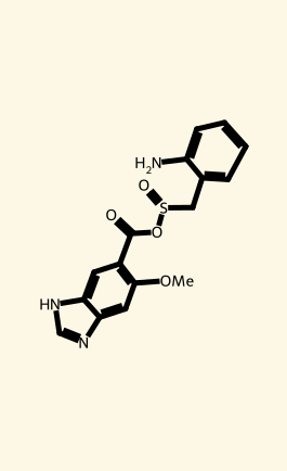 COc1cc2nc[nH]c2cc1C(=O)OS(=O)Cc1ccccc1N